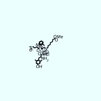 COC(=O)CCCCCCN(C(=O)CNC(=O)[C@H](N)Cc1c(C)cc(O)cc1C)[C@@H](Cc1ccccc1)C(=O)NC(=O)C(N)CC[S+](C)[O-].Cl